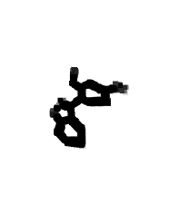 O=Cc1cc(Br)ccc1-c1noc2ccccc12